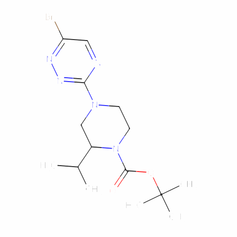 CC(C)C1CN(c2ncc(Br)nn2)CCN1C(=O)OC(C)(C)C